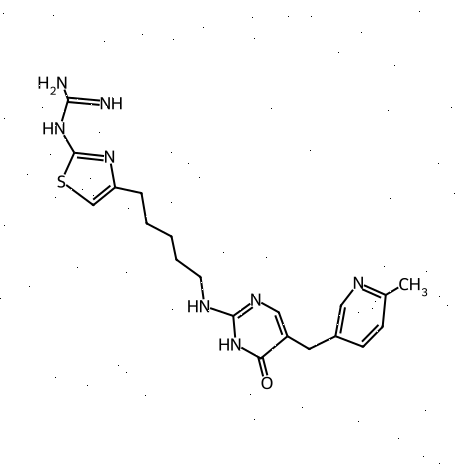 Cc1ccc(Cc2cnc(NCCCCCc3csc(NC(=N)N)n3)[nH]c2=O)cn1